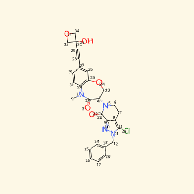 CN1C(=O)[C@@H](N2CCc3c(nn(Cc4ccccc4)c3Cl)C2=O)COc2cc(C#CC3(O)COC3)ccc21